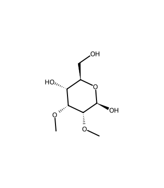 CO[C@@H]1[C@H](O)[C@@H](CO)O[C@@H](O)[C@@H]1OC